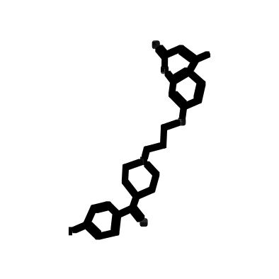 Cc1cc(=O)oc2cc(OCCCN3CCC(C(=O)c4ccc(F)cc4)CC3)ccc12